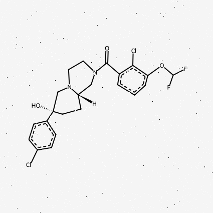 O=C(c1cccc(OC(F)F)c1Cl)N1CCN2C[C@](O)(c3ccc(Cl)cc3)CC[C@H]2C1